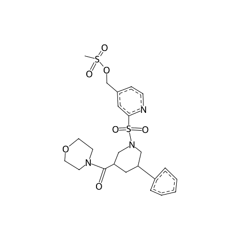 CS(=O)(=O)OCc1ccnc(S(=O)(=O)N2CC(C(=O)N3CCOCC3)CC(c3ccccc3)C2)c1